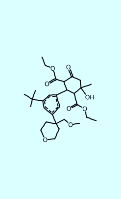 CCOC(=O)C1C(=O)CC(C)(O)C(C(=O)OCC)C1c1cc(C(C)(C)C)cc(C2(COC)CCOCC2)c1